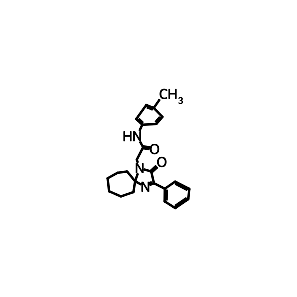 Cc1ccc(NC(=O)CN2C(=O)C(c3ccccc3)=NC23CCCCCC3)cc1